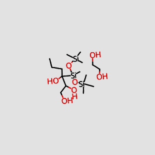 CCCC(O)(C(O)CO)[Si](C)(O[Si](C)(C)C)O[Si](C)(C)C.OCCO